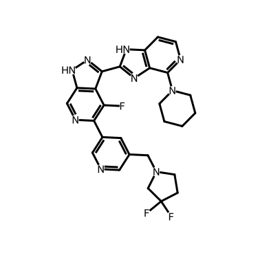 Fc1c(-c2cncc(CN3CCC(F)(F)C3)c2)ncc2[nH]nc(-c3nc4c(N5CCCCC5)nccc4[nH]3)c12